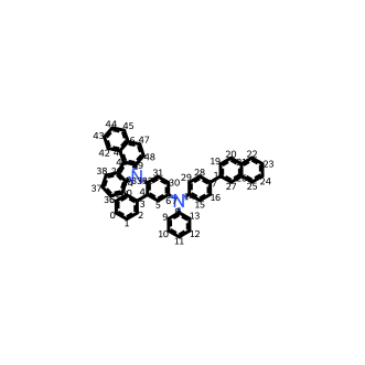 c1ccc(-c2cc(N(c3ccccc3)c3ccc(-c4ccc5ccccc5c4)cc3)ccc2-n2c3ccccc3c3c4ccccc4ccc32)cc1